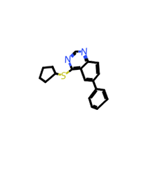 c1ccc(-c2ccc3ncnc(SC4CCCC4)c3c2)cc1